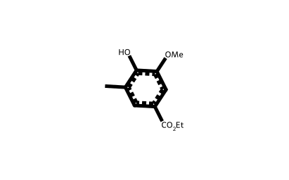 CCOC(=O)c1cc(C)c(O)c(OC)c1